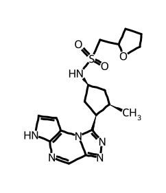 C[C@@H]1C[C@H](NS(=O)(=O)CC2CCCO2)C[C@@H]1c1nnc2cnc3[nH]ccc3n12